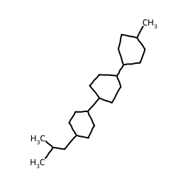 CC(C)CC1CCC(C2CCC(C3CCC(C)CC3)CC2)CC1